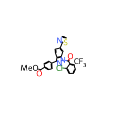 COC(=O)c1ccc(-c2nn(C(=O)c3c(Cl)cccc3C(F)(F)F)c3cc(-c4nccs4)ccc23)cc1